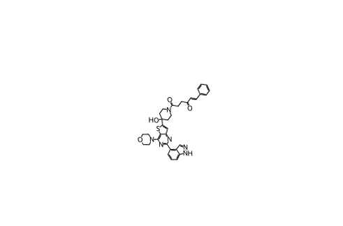 O=C(C=Cc1ccccc1)CCC(=O)N1CCC(O)(c2cc3nc(-c4cccc5[nH]ncc45)nc(N4CCOCC4)c3s2)CC1